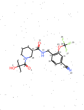 CC(C)(O)C(=O)N1CCC[C@@H](C(=O)NCc2ccc(C#N)cc2OC(F)(F)F)C1